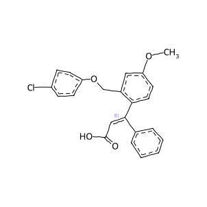 COc1ccc(/C(=C/C(=O)O)c2ccccc2)c(COc2ccc(Cl)cc2)c1